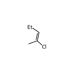 CC/C=C(\C)Cl